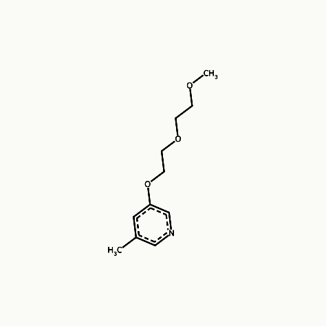 COCCOCCOc1cncc(C)c1